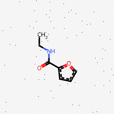 [CH2]CNC(=O)c1ccco1